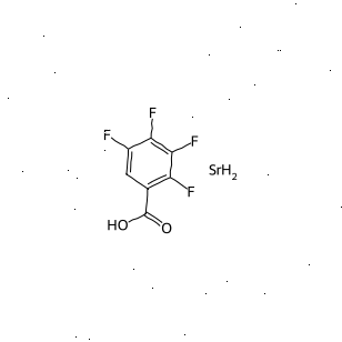 O=C(O)c1cc(F)c(F)c(F)c1F.[SrH2]